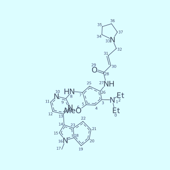 CCN(CC)c1cc(OC)c(Nc2nccc(-c3cn(C)c4ccccc34)n2)cc1NC(=O)C=CCN1CCCC1